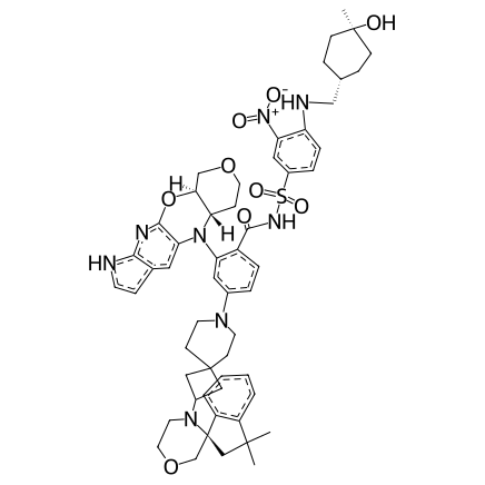 CC1(C)C[C@]2(COCCN2C2CC3(CCN(c4ccc(C(=O)NS(=O)(=O)c5ccc(NC[C@H]6CC[C@](C)(O)CC6)c([N+](=O)[O-])c5)c(N5c6cc7cc[nH]c7nc6O[C@H]6COCC[C@@H]65)c4)CC3)C2)c2ccccc21